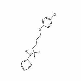 [O-][S+](c1ccccc1)C(F)(F)CCCCOc1ccc(Cl)cc1